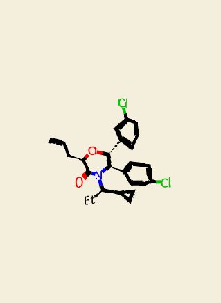 C=CC[C@H]1O[C@H](c2cccc(Cl)c2)[C@@H](c2ccc(Cl)cc2)N([C@H](CC)C2CC2)C1=O